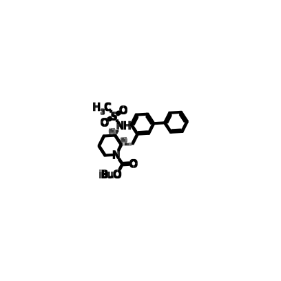 CC(C)COC(=O)N1CCC[C@H](NS(C)(=O)=O)[C@@H]1Cc1cccc(-c2ccccc2)c1